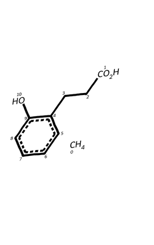 C.O=C(O)CCc1ccccc1O